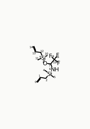 C=CC[Si](C)(C)NC(O[Si](C)(C)CC=C)C(F)(F)F